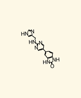 O=c1[nH]c2ccc(-c3cnc(NCc4c[nH]cn4)nc3)cc2[nH]1